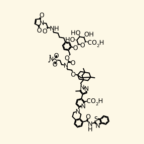 Cc1c(-c2ccc(N3CCc4cccc(C(=O)Nc5nc6ccccc6s5)c4C3)nc2C(=O)O)cnn1CC12CC3(C)CC(C)(C1)CC(OCCN(CCS(=O)(=O)N(C)C)C(=O)OCc1ccc(CCCCNC(=O)CN4C(=O)C=CC4=O)cc1O[C@@H]1O[C@H](C(=O)O)[C@@H](O)[C@H](O)[C@H]1O)(C3)C2